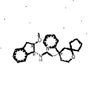 CO[C@@H]1Cc2ccccc2[C@H]1NCC[C@@]1(c2ccccn2)CCOC2(CCCC2)C1